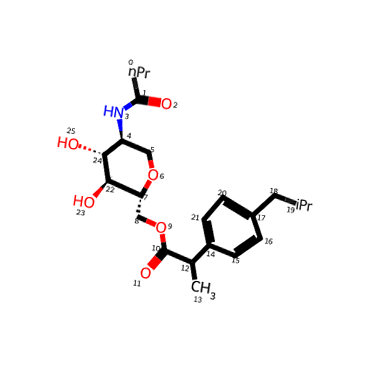 CCCC(=O)N[C@H]1CO[C@H](COC(=O)C(C)c2ccc(CC(C)C)cc2)[C@@H](O)[C@@H]1O